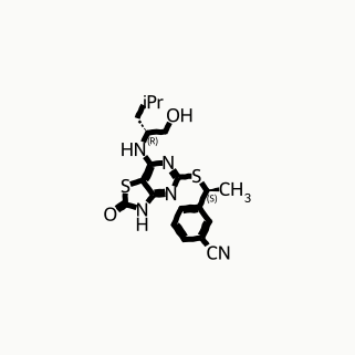 CC(C)C[C@H](CO)Nc1nc(S[C@@H](C)c2cccc(C#N)c2)nc2[nH]c(=O)sc12